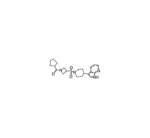 O=C(C1CCCC1)N1CC(S(=O)(=O)N2CCC(c3c[nH]c4ncccc34)CC2)C1